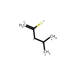 C=C([S])CC(C)C